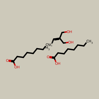 CCCCCCCC(=O)O.CCCCCCCC(=O)O.N#CC=C(CO)CO